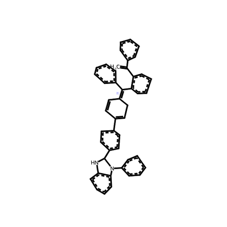 C=C(c1ccccc1)c1ccccc1/C(=C1/C=CC(c2ccc(C3Nc4ccccc4N3c3ccccc3)cc2)=CC1)c1ccccc1